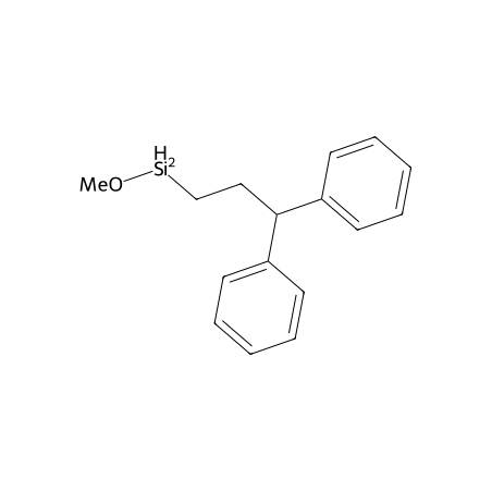 CO[SiH2]CCC(c1ccccc1)c1ccccc1